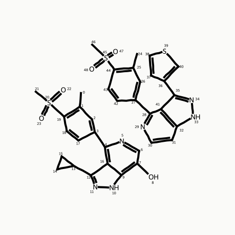 Cc1cc(-c2ncc(O)c3[nH]nc(C4CC4)c23)ccc1S(C)(=O)=O.Cc1cc(-c2nccc3[nH]nc(-c4ccsc4)c23)ccc1S(C)(=O)=O